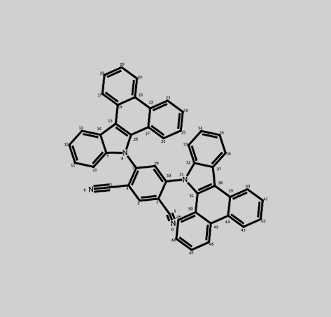 N#Cc1cc(C#N)c(-n2c3ccccc3c3c4ccccc4c4ccccc4c32)cc1-n1c2ccccc2c2c3ccccc3c3ccccc3c21